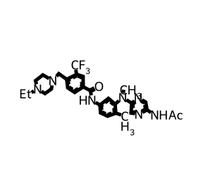 CCN1CCN(Cc2ccc(C(=O)Nc3ccc(C)c(N(C)c4cnc(NC(C)=O)cn4)c3)cc2C(F)(F)F)CC1